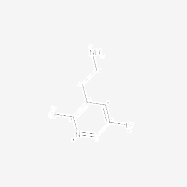 NCCc1cc(Br)cnc1Cl